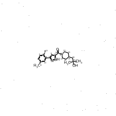 Cc1ccc(F)c(-c2cc(C(=O)N3CCC(CC(C)(C)O)CC3)[nH]n2)c1